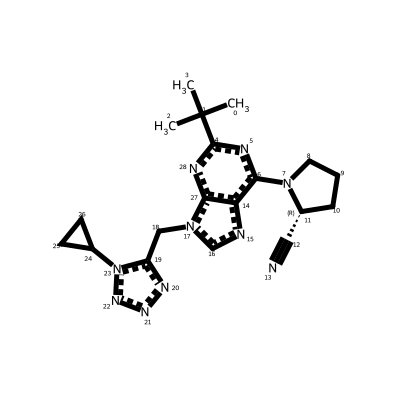 CC(C)(C)c1nc(N2CCC[C@@H]2C#N)c2ncn(Cc3nnnn3C3CC3)c2n1